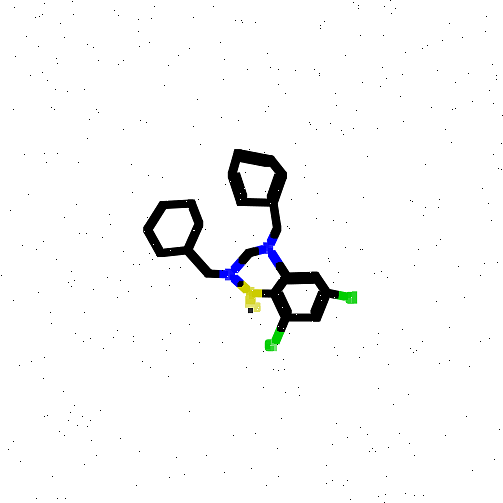 Clc1cc(Cl)c2c(c1)N(Cc1ccccc1)CN(CC1CCCCC1)[SH3]2